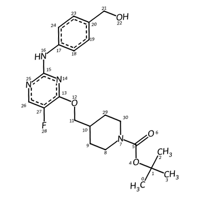 CC(C)(C)OC(=O)N1CCC(COc2nc(Nc3ccc(CO)cc3)ncc2F)CC1